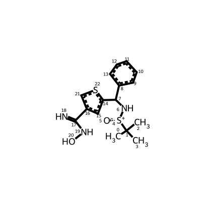 CC(C)(C)[S@+]([O-])NC(c1ccccc1)c1cc(C(=N)NO)cs1